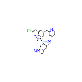 N#Cc1cc(Cc2cc(CNCc3cc4cc[nH]c4cc3F)ccn2)cc2cc(Cl)cnc12